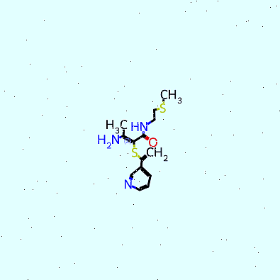 C=C(S/C(C(=O)NCCSC)=C(/C)N)c1cccnc1